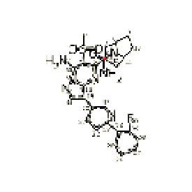 CS(=O)(=O)c1c(C2CC3CCC(C2)N3C(N)=O)nc2c(-c3ccc(-c4ccccc4F)nc3)cnn2c1N